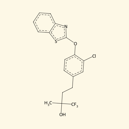 CC(O)(CCc1ccc(Oc2nc3ccccc3s2)c(Cl)c1)C(F)(F)F